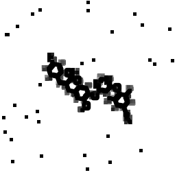 COc1cc(CC(=Cc2ccc(F)cc2)C(=O)O)ccc1Oc1cc(Oc2c(C)cc(C#N)cc2C)ncn1